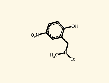 CCN(C)Cc1cc([N+](=O)[O-])ccc1O